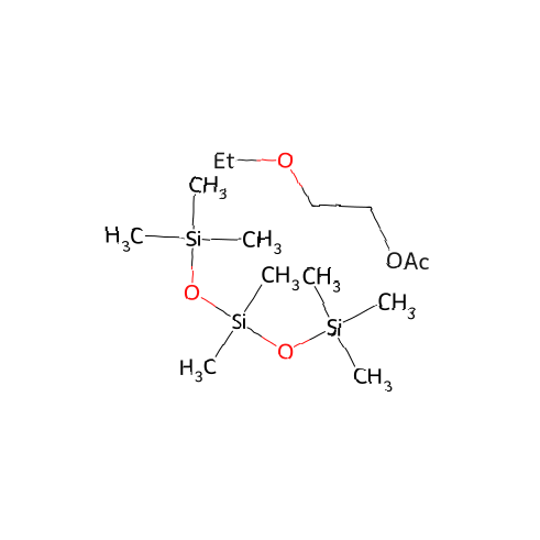 CCOCCOC(C)=O.C[Si](C)(C)O[Si](C)(C)O[Si](C)(C)C